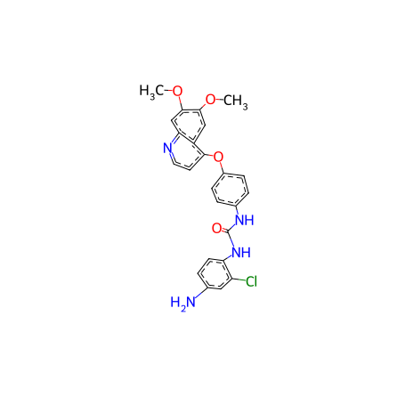 COc1cc2nccc(Oc3ccc(NC(=O)Nc4ccc(N)cc4Cl)cc3)c2cc1OC